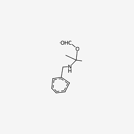 CC(C)(NCc1ccccc1)O[C]=O